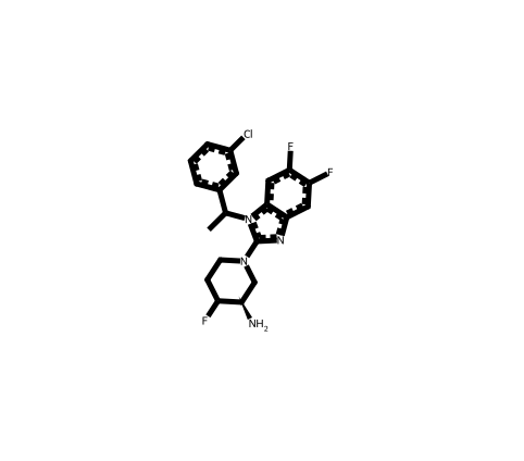 CC(c1cccc(Cl)c1)n1c(N2CCC(F)[C@H](N)C2)nc2cc(F)c(F)cc21